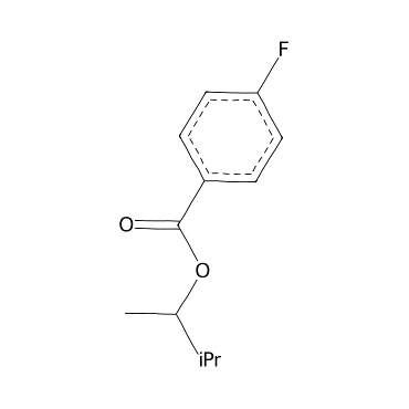 CC(C)C(C)OC(=O)c1ccc(F)cc1